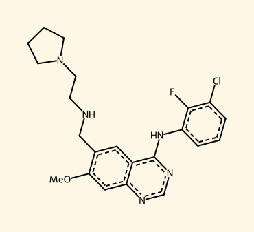 COc1cc2ncnc(Nc3cccc(Cl)c3F)c2cc1CNCCN1CCCC1